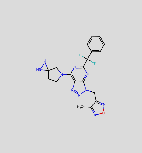 Cc1nonc1Cn1nnc2c(N3CCC4(C3)NN4)nc(C(F)(F)c3ccccc3)nc21